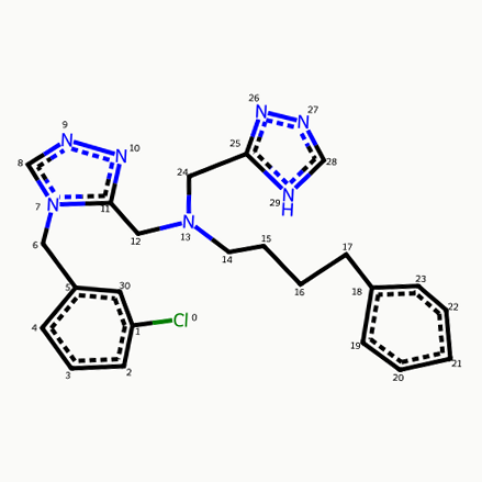 Clc1cccc(Cn2cnnc2CN(CCCCc2ccccc2)Cc2nnc[nH]2)c1